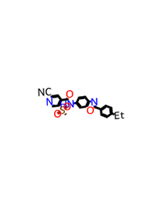 CCc1ccc(-c2nc3ccc(NC(=O)c4cc(C#N)ncc4S(C)(=O)=O)cc3o2)cc1